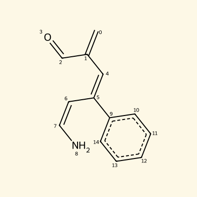 C=C(C=O)/C=C(\C=C/N)c1ccccc1